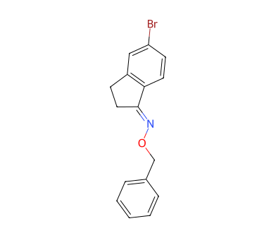 Brc1ccc2c(c1)CCC2=NOCc1ccccc1